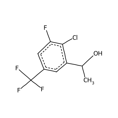 CC(O)c1cc(C(F)(F)F)cc(F)c1Cl